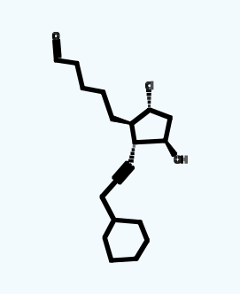 O=CCCCC[C@@H]1[C@@H](C#CCC2CCCCC2)[C@H](O)C[C@H]1Cl